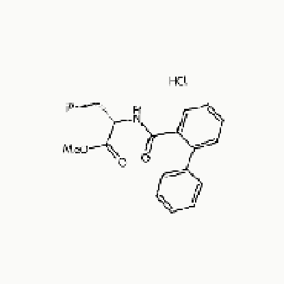 COC(=O)[C@H](CC(C)C)NC(=O)c1ccccc1-c1ccccc1.Cl